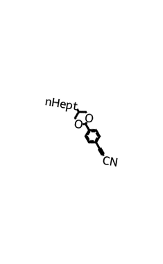 CCCCCCCC1COC(c2ccc(C#CC#N)cc2)OC1